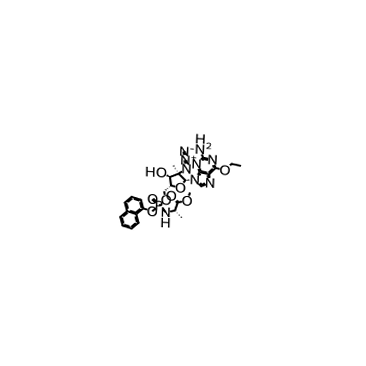 CCOc1nc(N)nc2c1ncn2[C@@H]1O[C@H](COP(=O)(N[C@@H](C)C(=O)OC)Oc2cccc3ccccc23)[C@@H](O)[C@@]1(C)N=[N+]=[N-]